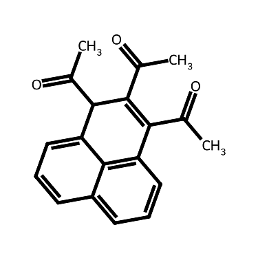 CC(=O)C1=C(C(C)=O)C(C(C)=O)c2cccc3cccc1c23